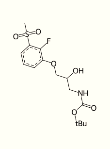 CC(C)(C)OC(=O)NCC(O)COc1cccc(S(C)(=O)=O)c1F